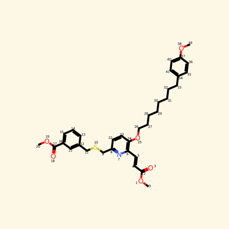 COC(=O)C=Cc1nc(CSCc2cccc(C(=O)OC)c2)ccc1OCCCCCCCCc1ccc(OC)cc1